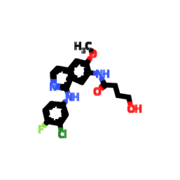 COc1cc2ccnc(Nc3ccc(F)c(Cl)c3)c2cc1NC(=O)CCCO